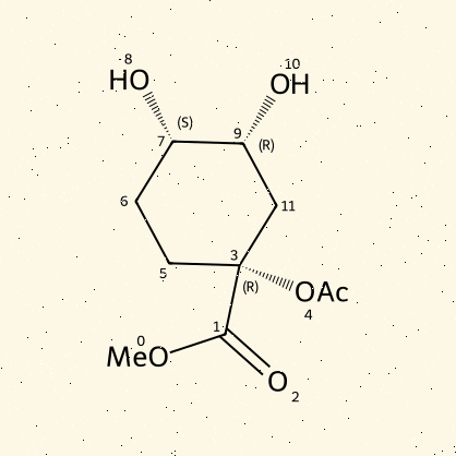 COC(=O)[C@@]1(OC(C)=O)CC[C@H](O)[C@H](O)C1